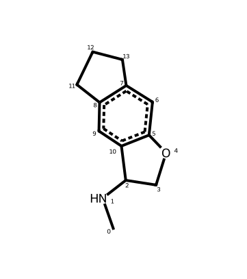 CNC1COc2cc3c(cc21)CCC3